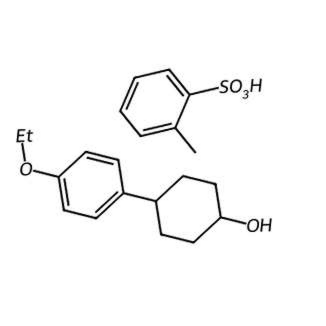 CCOc1ccc(C2CCC(O)CC2)cc1.Cc1ccccc1S(=O)(=O)O